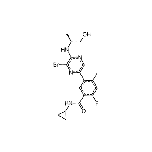 Cc1cc(F)c(C(=O)NC2CC2)cc1-c1cnc(N[C@@H](C)CO)c(Br)n1